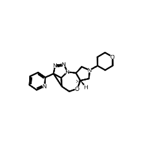 c1ccc(C23N=NN4C5CN(C6CCOCC6)C[C@@H]5OCC2C43)nc1